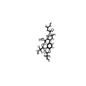 CCC(C)CC(=O)OC(C)CC(c1ccc(OC(=O)C(C)(C)CC)c(OC(=O)C(C)(C)CC)c1)[C@H](N)C(=O)O